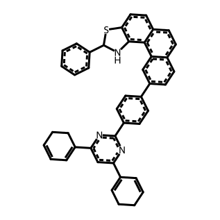 C1=CCCC(c2cc(C3=CCCC=C3)nc(-c3ccc(-c4ccc5ccc6ccc7c(c6c5c4)NC(c4ccccc4)S7)cc3)n2)=C1